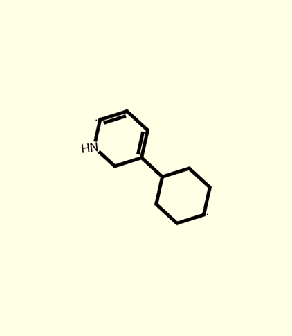 [C]1=CC=C(C2CC[CH]CC2)CN1